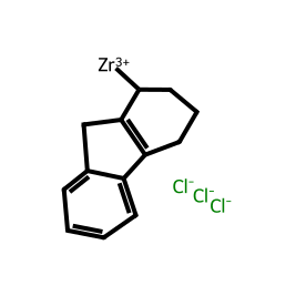 [Cl-].[Cl-].[Cl-].[Zr+3][CH]1CCCC2=C1Cc1ccccc12